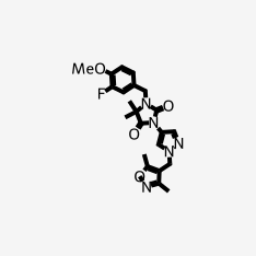 COc1ccc(CN2C(=O)N(c3cnn(Cc4c(C)noc4C)c3)C(=O)C2(C)C)cc1F